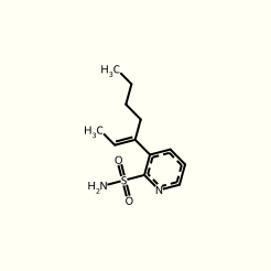 CC=C(CCCC)c1cccnc1S(N)(=O)=O